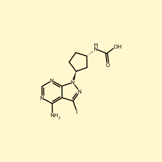 Nc1ncnc2c1c(I)nn2[C@H]1CC[C@H](NC(=O)O)C1